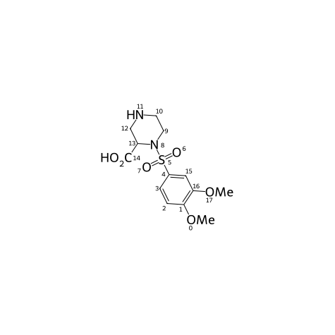 COc1ccc(S(=O)(=O)N2CCNCC2C(=O)O)cc1OC